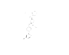 CCOC[C@]1(C(O)N2CCN(c3cc(C(F)(F)F)ccn3)CC2)CC[C@@H](NC2CCOCC2C)C1